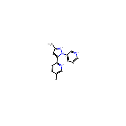 Cc1ccc(-c2cc(C(=O)O)nn2-c2cccnc2)nc1